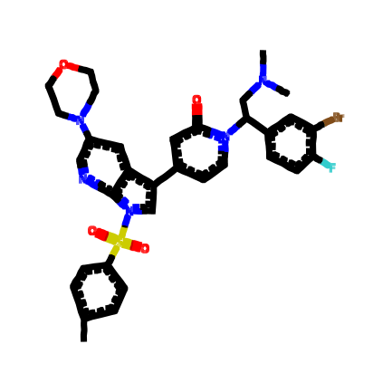 Cc1ccc(S(=O)(=O)n2cc(-c3ccn(C(CN(C)C)c4ccc(F)c(Br)c4)c(=O)c3)c3cc(N4CCOCC4)cnc32)cc1